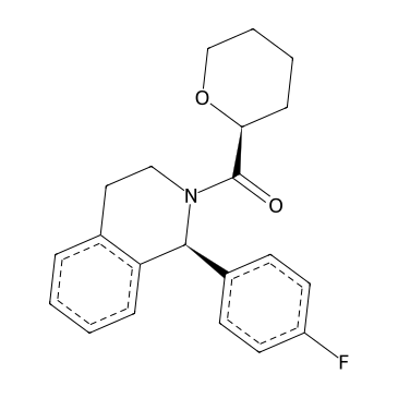 O=C([C@@H]1CCCCO1)N1CCc2ccccc2[C@@H]1c1ccc(F)cc1